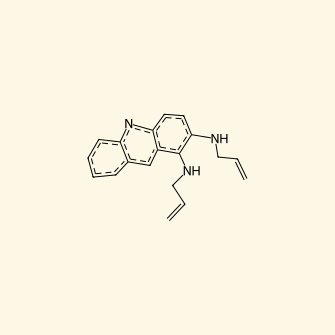 C=CCNc1ccc2nc3ccccc3cc2c1NCC=C